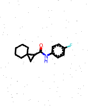 O=C(Nc1ccc(F)cc1)C1CC12CCCCC2